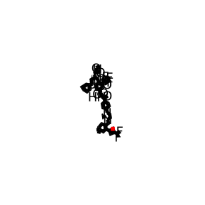 COC(=O)C[C@H](CSc1ccccc1)Nc1ccc(S(=O)(=O)NC(=O)c2ccc(N3CCN(CC4=C(C56CC(C(F)F)(C5)C6)CC(C)(C)CC4)CC3)cc2)cc1S(=O)(=O)C(F)(F)F